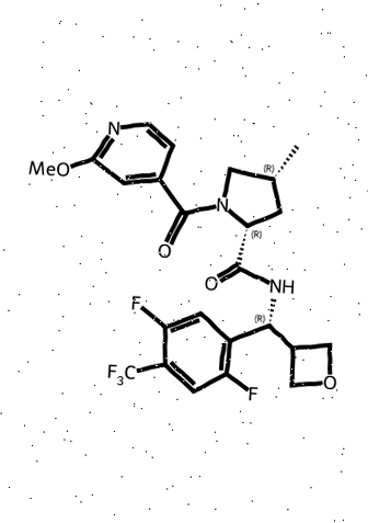 COc1cc(C(=O)N2C[C@H](C)C[C@@H]2C(=O)N[C@@H](c2cc(F)c(C(F)(F)F)cc2F)C2COC2)ccn1